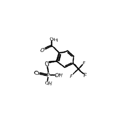 O=C(O)c1ccc(C(F)(F)F)cc1OP(=O)(O)O